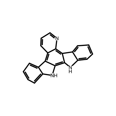 c1ccc2c(c1)[nH]c1c3[nH]c4ccccc4c3c3ncccc3c21